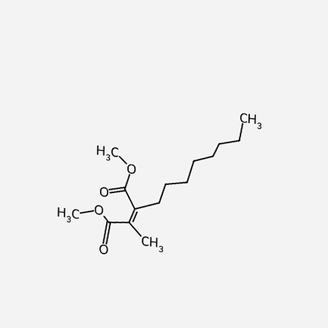 CCCCCCCC/C(C(=O)OC)=C(\C)C(=O)OC